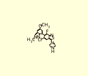 COc1cc(-c2c(Cl)cc3c(N4CCNCC4)snc3c2F)c2nn(C)cc2c1